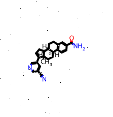 C[C@]12CC[C@@H]3c4ccc(C(N)=O)cc4CC[C@H]3[C@@H]1CC=C2c1cncc(C#N)c1